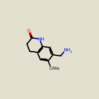 COc1cc2c(cc1CN)NC(=O)CC2